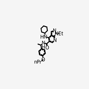 CCCOc1ccc(C(C)NC(=O)c2cnc3c(cnn3CC)c2NC2CCCCC2)cc1